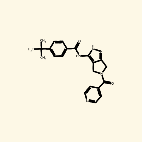 CC(C)(C)c1ccc(C(=O)Nc2[nH]nc3c2CN(C(=O)c2ccncc2)C3)cc1